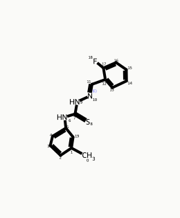 Cc1cccc(NC(=S)N/N=C/c2ccccc2F)c1